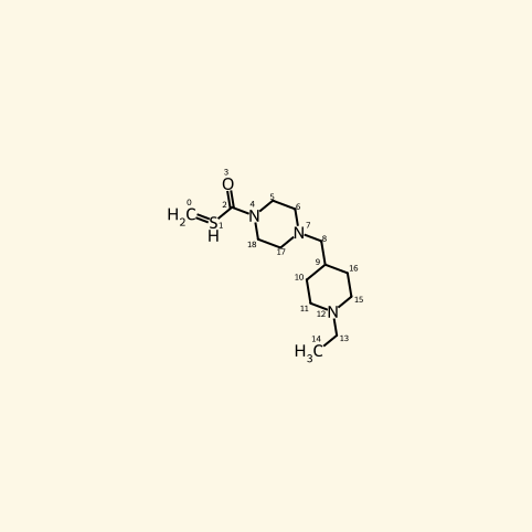 C=[SH]C(=O)N1CCN(CC2CCN(CC)CC2)CC1